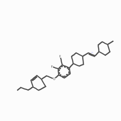 CCCC1C=CC(COc2ccc(C3CCC(/C=C/C4CCC(C)CC4)CC3)c(F)c2F)CC1